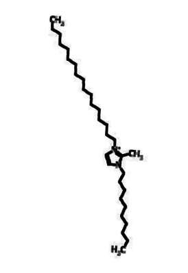 CCCCCCCCCCCCCCCCC[n+]1ccn(CCCCCCCCCC)c1C